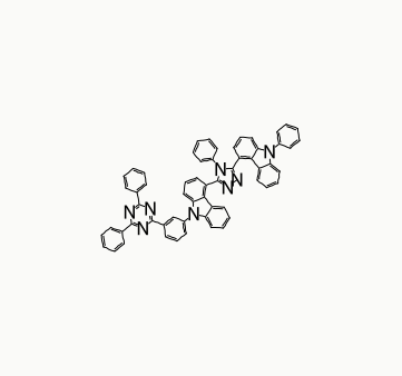 c1ccc(-c2nc(-c3ccccc3)nc(-c3cccc(-n4c5ccccc5c5c(-c6nnc(-c7cccc8c7c7ccccc7n8-c7ccccc7)n6-c6ccccc6)cccc54)c3)n2)cc1